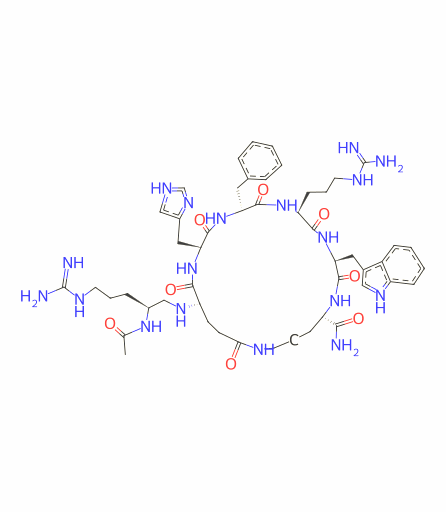 CC(=O)N[C@@H](CCCNC(=N)N)CN[C@H]1CCC(=O)NCCC[C@@H](C(N)=O)NC(=O)[C@H](Cc2c[nH]c3ccccc23)NC(=O)[C@H](CCCNC(=N)N)NC(=O)[C@@H](Cc2ccccc2)NC(=O)[C@H](Cc2c[nH]cn2)NC1=O